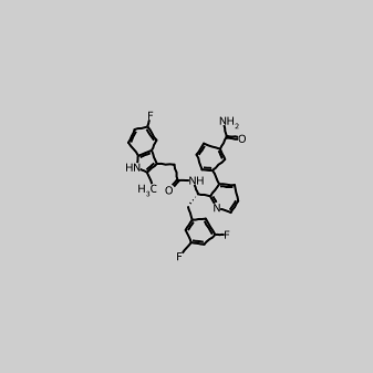 Cc1[nH]c2ccc(F)cc2c1CC(=O)N[C@@H](Cc1cc(F)cc(F)c1)c1ncccc1-c1cccc(C(N)=O)c1